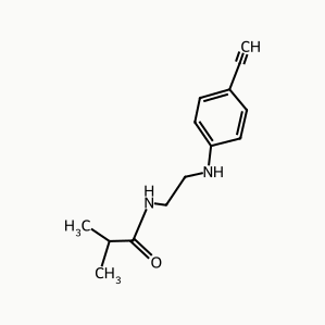 C#Cc1ccc(NCCNC(=O)C(C)C)cc1